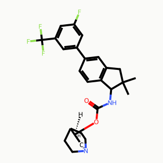 CC1(C)Cc2cc(-c3cc(F)cc(C(F)(F)F)c3)ccc2C1NC(=O)O[C@H]1CN2CCC1CC2